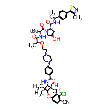 Cc1ncsc1-c1ccc([C@H](C)NC(=O)[C@@H]2C[C@@H](O)CN2C(=O)C(NC(=O)C(C)OCCN2CCN(c3ccc(C(=O)NC4C(C)(C)C(Oc5ccc(C#N)c(Cl)c5)C4(C)C)cc3)CC2)C(C)(C)C)cc1